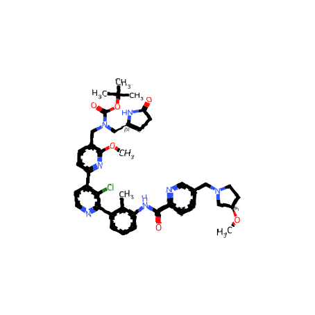 COc1nc(-c2ccnc(-c3cccc(NC(=O)c4ccc(CN5CC[C@@H](OC)C5)cn4)c3C)c2Cl)ccc1CN(C[C@@H]1CCC(=O)N1)C(=O)OC(C)(C)C